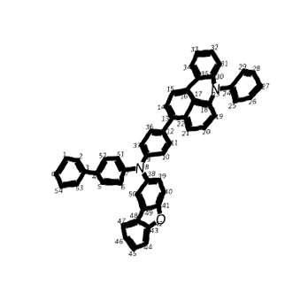 c1ccc(-c2ccc(N(c3ccc(-c4ccc5c6c(cccc46)N(c4ccccc4)c4ccccc4-5)cc3)c3ccc4oc5ccccc5c4c3)cc2)cc1